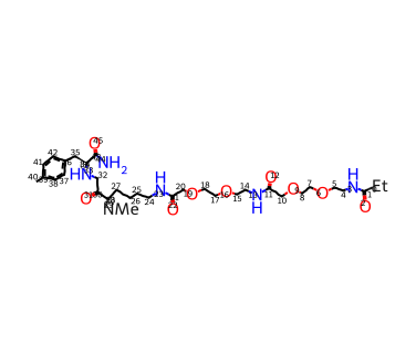 CCC(=O)NCCOCCOCC(=O)NCCOCCOCC(=O)NCCCC[C@H](NC)C(=O)CN[C@@H](Cc1ccc(C)cc1)C(N)=O